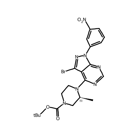 C[C@H]1CN(C(=O)OC(C)(C)C)CCN1c1ncnc2c1c(Br)nn2-c1cccc([N+](=O)[O-])c1